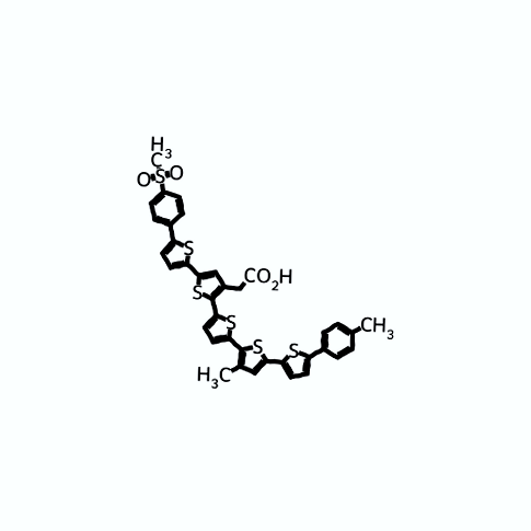 Cc1ccc(-c2ccc(-c3cc(C)c(-c4ccc(-c5sc(-c6ccc(-c7ccc(S(C)(=O)=O)cc7)s6)cc5CC(=O)O)s4)s3)s2)cc1